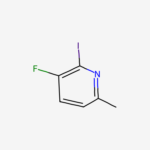 Cc1ccc(F)c(I)n1